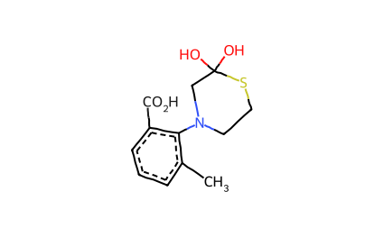 Cc1cccc(C(=O)O)c1N1CCSC(O)(O)C1